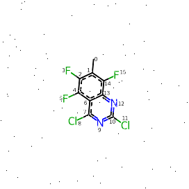 Cc1c(F)c(F)c2c(Cl)nc(Cl)nc2c1F